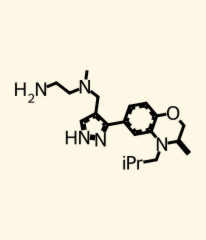 C=C1COc2ccc(-c3n[nH]cc3CN(C)CCN)cc2N1CC(C)C